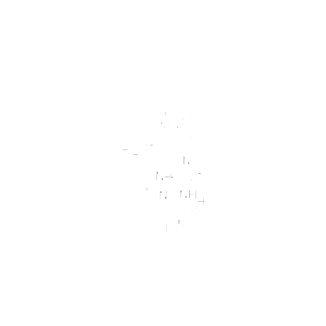 CC[C@@H](C)Oc1cccc(CN2CC[C@@]3(C[C@@H]2C)C(NC2C[C@@H]4CC[C@@H]2C4)=NC(=O)N3c2cccc(F)c2)c1